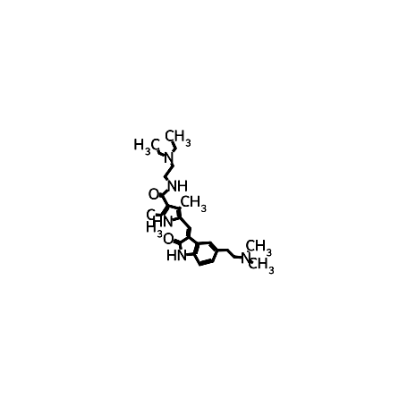 CCN(CC)CCNC(=O)c1c(C)[nH]c(/C=C2\C(=O)Nc3ccc(CCN(C)C)cc32)c1C